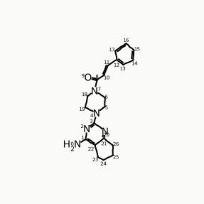 Nc1nc(N2CCN(C(=O)C=Cc3ccccc3)CC2)nc2c1CCCC2